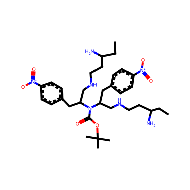 CCC(N)CCNCC(Cc1ccc([N+](=O)[O-])cc1)N(C(=O)OC(C)(C)C)C(CNCCC(N)CC)Cc1ccc([N+](=O)[O-])cc1